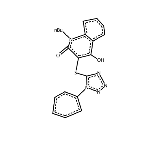 CCCCn1c(=O)c(Sc2nnnn2-c2ccccc2)c(O)c2ccccc21